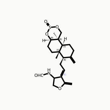 C=C1OCC(NC=O)/C1=C\C[C@@H]1C(=C)CC[C@@H]2[C@]3(C)COS(=O)O[C@@H]3CC[C@]21C